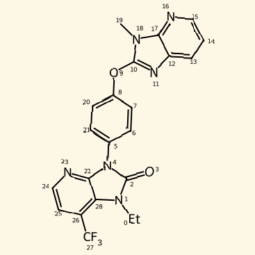 CCn1c(=O)n(-c2ccc(Oc3nc4cccnc4n3C)cc2)c2nccc(C(F)(F)F)c21